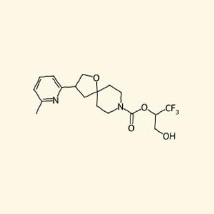 Cc1cccc(C2COC3(CCN(C(=O)OC(CO)C(F)(F)F)CC3)C2)n1